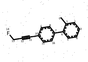 Cc1ccccc1-c1ccc(C#CCF)cc1